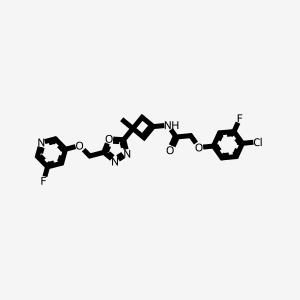 CC1(c2nnc(COc3cncc(F)c3)o2)C=C(NC(=O)COc2ccc(Cl)c(F)c2)C1